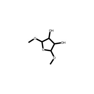 COC1OC(OC)C(O)[C]1O